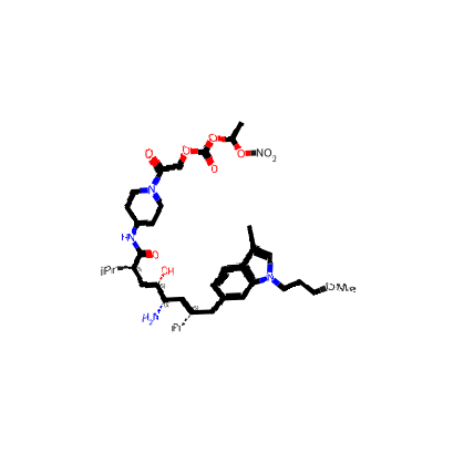 COCCCn1cc(C)c2ccc(C[C@@H](C[C@H](N)[C@@H](O)C[C@H](C(=O)NC3CCN(C(=O)COC(=O)OC(C)O[N+](=O)[O-])CC3)C(C)C)C(C)C)cc21